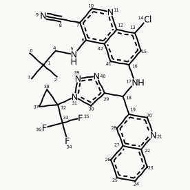 CC(C)(C)CNc1c(C#N)cnc2c(Cl)cc(NC(c3cnc4ccccc4c3)c3cn(C4(C(F)(F)F)CC4)nn3)cc12